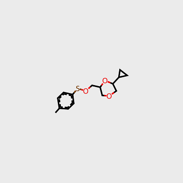 Cc1ccc(SOCC2COCC(C3CC3)O2)cc1